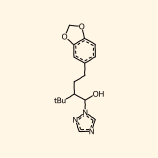 CC(C)(C)C(CCc1ccc2c(c1)OCO2)C(O)n1cncn1